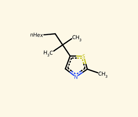 CCCCCCCC(C)(C)c1cnc(C)s1